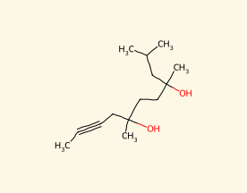 CC#CCC(C)(O)CCC(C)(O)CC(C)C